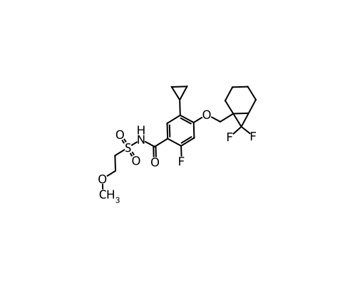 COCCS(=O)(=O)NC(=O)c1cc(C2CC2)c(OCC23CCCCC2C3(F)F)cc1F